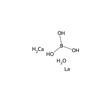 O.OB(O)O.[CaH2].[La]